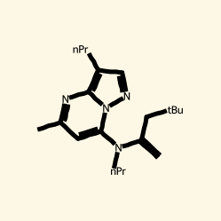 C=C(CC(C)(C)C)N(CCC)c1cc(C)nc2c(CCC)cnn12